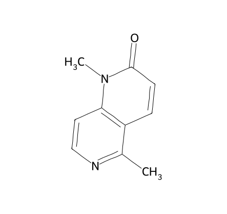 Cc1nccc2c1ccc(=O)n2C